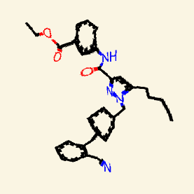 CCCCc1cc(C(=O)Nc2cccc(C(=O)OCC)c2)nn1Cc1ccc(-c2ccccc2C#N)cc1